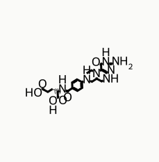 CCN1c2c(nc(N)[nH]c2=O)NCC1CNc1ccc(C(=O)N[C@@H](CCC(=O)O)C(=O)O)cc1